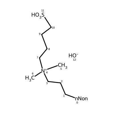 CCCCCCCCCCCC[N+](C)(C)CCCCS(=O)(=O)O.[OH-]